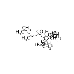 CC(C)=CCCC(C)=CCCC(=CCc1cc(O[Si](C)(C)C(C)(C)C)ccc1O[Si](C)(C)C(C)(C)C)C(=O)O